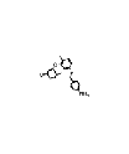 Cc1ccc(OCc2ccc(N)cc2)cc1OC1=CC(=O)C=CC1C